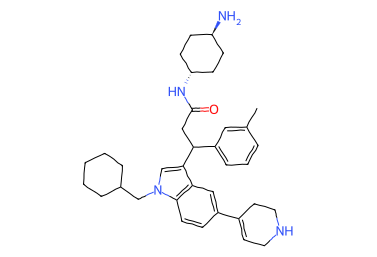 Cc1cccc(C(CC(=O)N[C@H]2CC[C@H](N)CC2)c2cn(CC3CCCCC3)c3ccc(C4=CCNCC4)cc23)c1